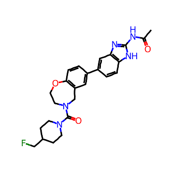 CC(=O)Nc1nc2cc(-c3ccc4c(c3)CN(C(=O)N3CCC(CF)CC3)CCO4)ccc2[nH]1